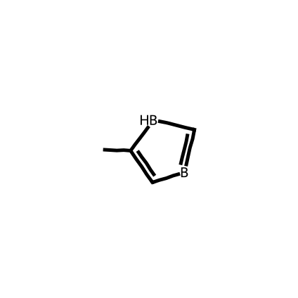 CC1=CB=CB1